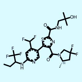 CCC(Nc1cc(C(F)F)c(-c2sc(C(=O)NCC(C)(C)O)nc2C(=O)N2CC(F)(F)C[C@@H]2C)cn1)C(F)(F)F